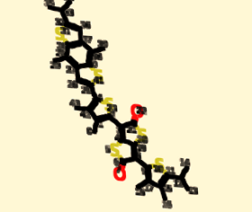 Cc1c(C2=C3SC(=O)C(c4sc(C(C)C)c(C)c4C)=C3SC2=O)sc(-c2cc3c(C)c4sc(C(C)C)cc4c(C)c3s2)c1C